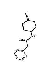 O=C1CCC(NC(=O)Cc2ccccn2)CC1